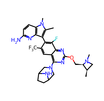 Cc1c(-c2c(C(F)(F)F)cc3c(N4CC5CCC(C4)N5)nc(OC[C@@H]4[C@H](C)CN4C)nc3c2F)c2nc(N)ccc2n1C